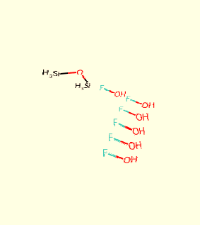 OF.OF.OF.OF.OF.OF.[SiH3]O[SiH3]